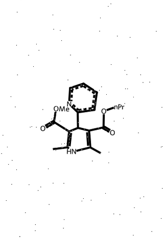 CCCOC(=O)C1=C(C)NC(C)=C(C(=O)OC)C1c1ccccn1